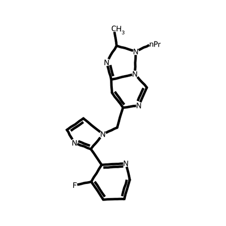 CCCN1C(C)N=C2C=C(Cn3ccnc3-c3ncccc3F)N=CN21